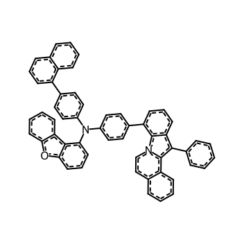 c1ccc(-c2c3cccc(-c4ccc(N(c5ccc(-c6cccc7ccccc67)cc5)c5cccc6oc7ccccc7c56)cc4)c3n3ccc4ccccc4c23)cc1